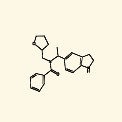 CC(c1ccc2c(c1)CCN2)N(CC1CCCO1)C(=O)c1ccccc1